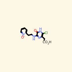 O=C(O)Cc1nc(NCCc2cccc[n+]2[O-])c(=O)[nH]c1Cl